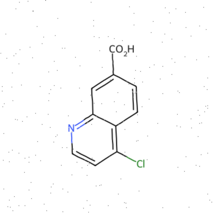 O=C(O)c1ccc2c(Cl)ccnc2c1